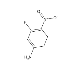 NC1=CC(F)=C([N+](=O)[O-])CC1